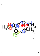 CC(=O)NC1CCN(C[C@H](O)Cn2nc(-c3ccc(C(F)(F)F)c(SCCN4CCC(C)CC4)c3)c3c2CCN(S(C)(=O)=O)C3)CC1